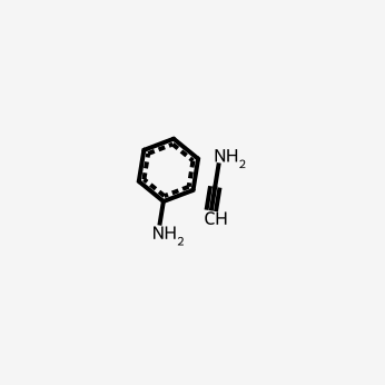 C#CN.Nc1ccccc1